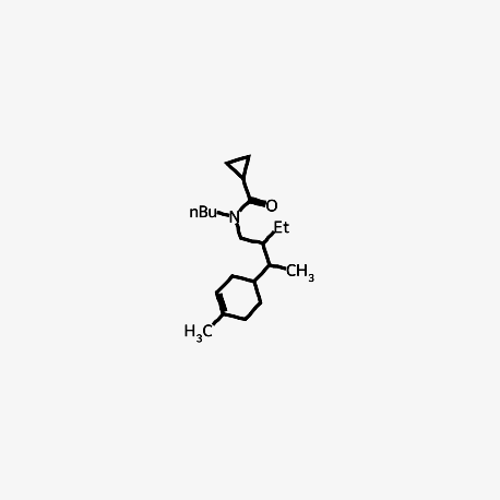 CCCCN(CC(CC)C(C)C1CC=C(C)CC1)C(=O)C1CC1